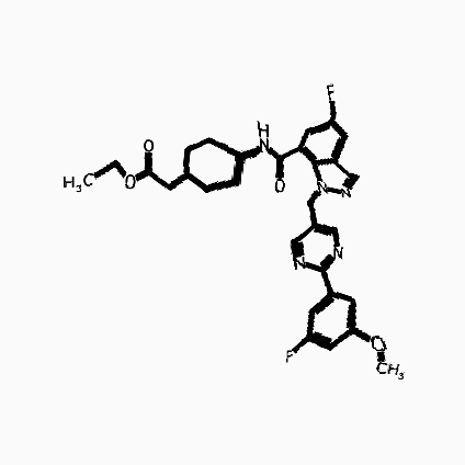 CCOC(=O)CC1CCC(NC(=O)c2cc(F)cc3cnn(Cc4cnc(-c5cc(F)cc(OC)c5)nc4)c23)CC1